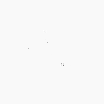 c1ccc(-c2nc(-c3cccc4oc5ccc(-c6ccc7c(c6)c6c8ccccc8ccc6n7-c6ccccc6)cc5c34)nc3ccccc23)cc1